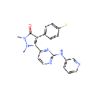 Cn1c(-c2ccnc(Nc3cccnc3)n2)c(-c2ccc(F)cc2)c(=O)n1C